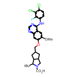 COc1cc2c(Nc3ccc(Cl)c(Cl)c3F)ncnc2cc1OCC1CC2CN(C(=O)O)C(C(C)(C)C)C2C1